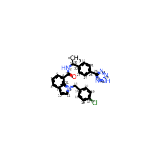 C[C@H](NC(=O)c1cccc2ccn(Cc3ccc(Cl)cc3)c12)c1ccc(-c2nn[nH]n2)cc1